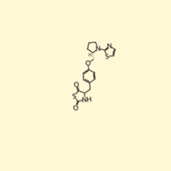 O=C1NC(Cc2ccc(OC[C@@H]3CCCN3c3nccs3)cc2)C(=O)S1